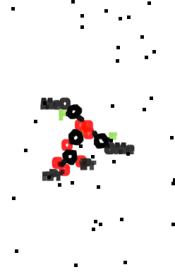 CCCOC(=O)c1cc(Oc2ccc(P(=O)(OCc3ccc(OC)c(F)c3)OCc3ccc(OC)c(F)c3)cc2)cc(OC(C)C)c1